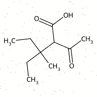 CCC(C)(CC)C(C(C)=O)C(=O)O